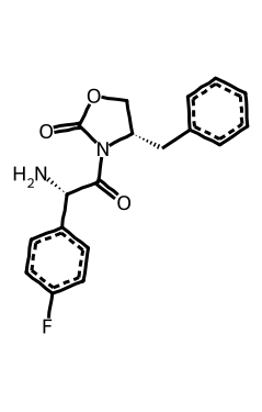 N[C@H](C(=O)N1C(=O)OC[C@@H]1Cc1ccccc1)c1ccc(F)cc1